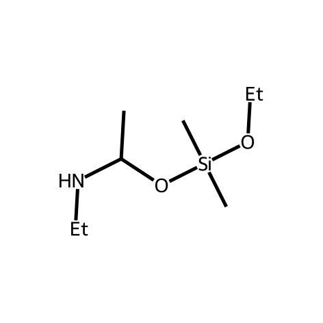 CCNC(C)O[Si](C)(C)OCC